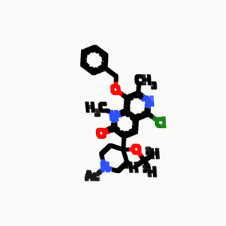 [2H]C([2H])([2H])OC1(c2cc3c(Cl)nc(C)c(OCc4ccccc4)c3n(C)c2=O)CCN(C(C)=O)CC1